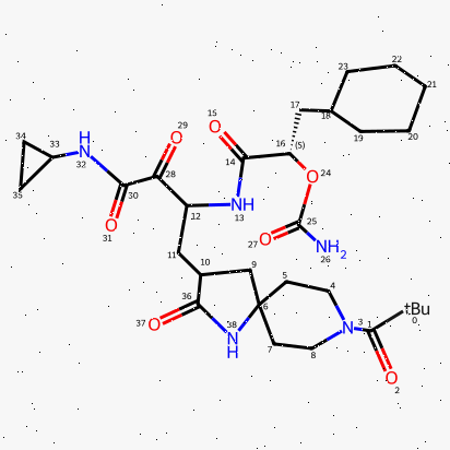 CC(C)(C)C(=O)N1CCC2(CC1)CC(CC(NC(=O)[C@H](CC1CCCCC1)OC(N)=O)C(=O)C(=O)NC1CC1)C(=O)N2